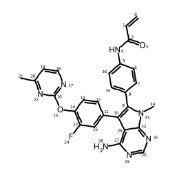 C=CC(=O)Nc1ccc(-c2c(-c3ccc(Oc4nccc(C)n4)c(F)c3)c3c(N)ncnc3n2C)cc1